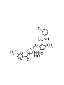 Cc1nnc(C(=O)N2CCC3(COc4c(cn(C)c4C(=O)Nc4ccc(F)c(F)c4)S(=O)(=O)N3)C2)o1